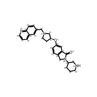 O=C1c2cc(O[C@H]3CCN(Cc4ccc5ncccc5c4)C3)ccc2CN1C1CCCNC1